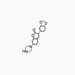 O=c1oc2cc(N3CCNCC3)ccc2cc1-c1ccc2c(c1)OCO2